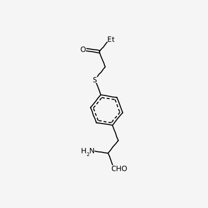 CCC(=O)CSc1ccc(CC(N)C=O)cc1